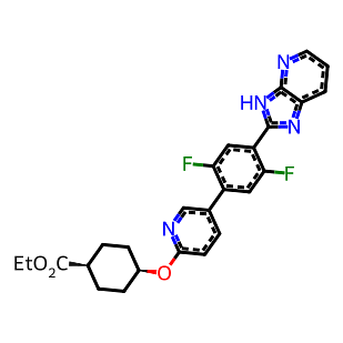 CCOC(=O)[C@H]1CC[C@@H](Oc2ccc(-c3cc(F)c(-c4nc5cccnc5[nH]4)cc3F)cn2)CC1